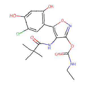 CCNC(=O)Oc1noc(-c2cc(Cl)c(O)cc2O)c1NC(=O)C(C)(C)C